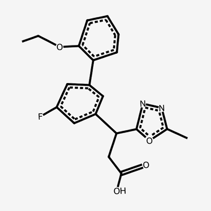 CCOc1ccccc1-c1cc(F)cc(C(CC(=O)O)c2nnc(C)o2)c1